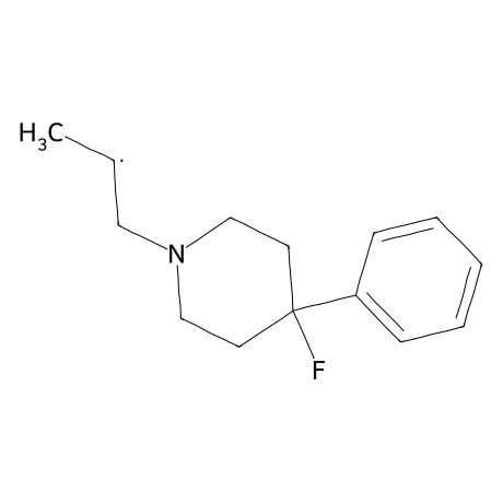 C[CH]CN1CCC(F)(c2ccccc2)CC1